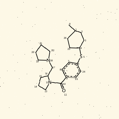 CC1CCC(Sc2ccc(C(=O)N3CCCC3CN3CCCC3)cc2)CC1